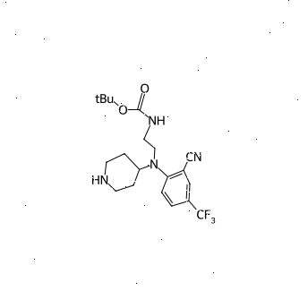 CC(C)(C)OC(=O)NCCN(c1ccc(C(F)(F)F)cc1C#N)C1CCNCC1